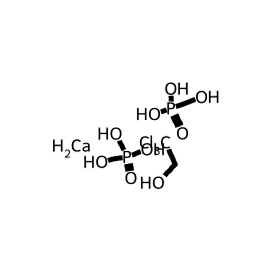 O=P(O)(O)O.O=P(O)(O)O.OCC(Cl)(Cl)Cl.[CaH2]